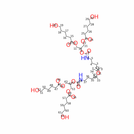 C[Si](C)(CCCNC(=O)OC(COC(=O)CCCCCO)COC(=O)CCCCCO)O[Si](C)(C)CCCNC(=O)OC(COC(=O)CCCCCO)COC(=O)CCCCCO